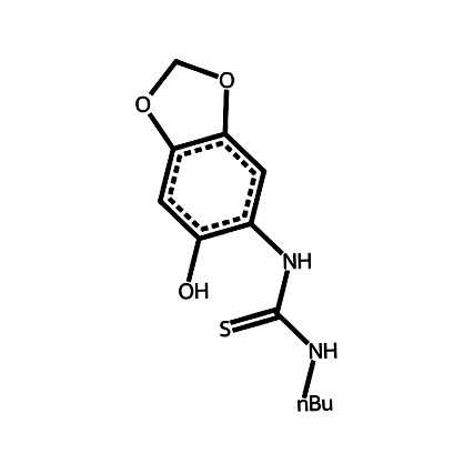 CCCCNC(=S)Nc1cc2c(cc1O)OCO2